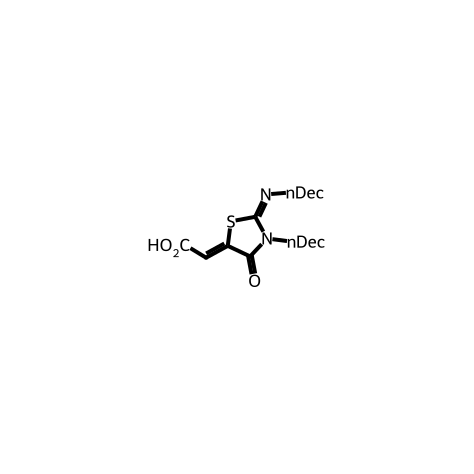 CCCCCCCCCCN=C1SC(=CC(=O)O)C(=O)N1CCCCCCCCCC